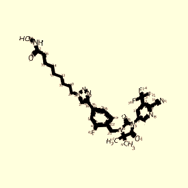 CC1(C)C(=O)N(c2cnc(C#N)c(C(F)(F)F)c2)C(=O)N1Cc1ccc(-c2cn(CCCCCCCCC(=O)NO)nn2)cc1F